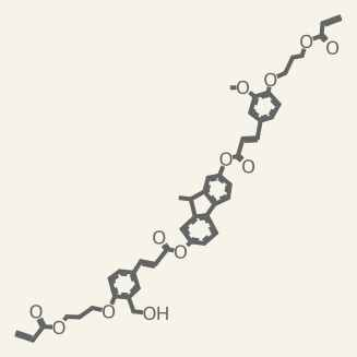 C=CC(=O)OCCCOc1ccc(C=CC(=O)Oc2ccc3c(c2)C(C)c2cc(OC(=O)C=Cc4ccc(OCCCOC(=O)C=C)c(OC)c4)ccc2-3)cc1CO